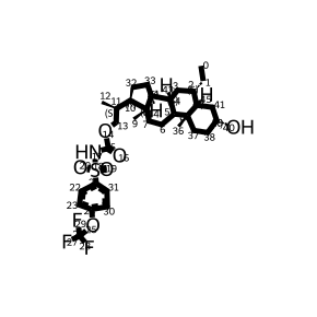 CC[C@H]1C[C@@H]2C(CC[C@]3(C)[C@@H]([C@H](C)COC(=O)NS(=O)(=O)c4ccc(OC(F)(F)F)cc4)CC[C@@H]23)[C@@]2(C)CC[C@@H](O)C[C@@H]12